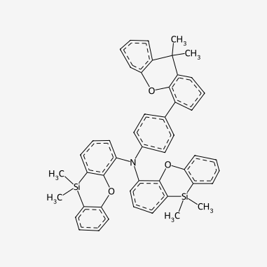 CC1(C)c2ccccc2Oc2c(-c3ccc(N(c4cccc5c4Oc4ccccc4[Si]5(C)C)c4cccc5c4Oc4ccccc4[Si]5(C)C)cc3)cccc21